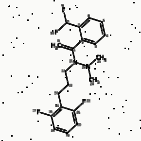 C=C(c1ccccc1C(F)F)N(CCCc1c(F)cccc1F)N(C)C